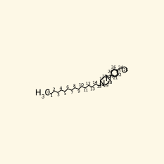 CCCCCCCCCCCCCCCCN1CCN(c2ccc(C=O)cc2)CC1